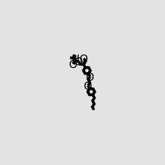 C=C(C)C(=O)OCC(CO)C1CCC(OCCOC2CCC(CCCCC)CC2)CC1